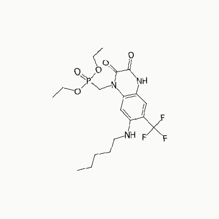 CCCCCNc1cc2c(cc1C(F)(F)F)[nH]c(=O)c(=O)n2CP(=O)(OCC)OCC